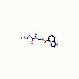 CCCCNC(=O)NCCSc1cccc2nccn12